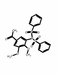 COc1cc(C(C)=O)cc(N(S(=O)(=O)c2ccccc2)S(=O)(=O)c2ccccc2)c1OC